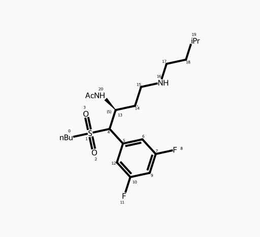 CCCCS(=O)(=O)C(c1cc(F)cc(F)c1)[C@H]([CH]CNCCC(C)C)NC(C)=O